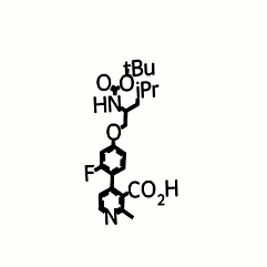 Cc1nccc(-c2ccc(OCC(CC(C)C)NC(=O)OC(C)(C)C)cc2F)c1C(=O)O